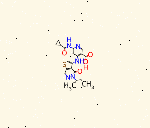 CCC(C)n1ncc2scc(Nc3cc(NC(=O)C4CC4)ncc3C(=O)O)c2c1=O